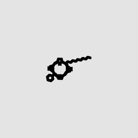 CCCCCCCCCCc1c2nc(cc3ccc([nH]3)c(C3CCCCC3)c3nc(cc4ccc1[nH]4)C=C3)C=C2